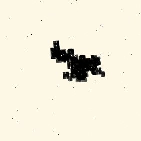 CCCC(Nc1ncc[nH]1)OC(=O)C(CNC(=O)c1ccc2cn[nH]c2c1)NS(=O)(=O)c1c(C)cccc1C